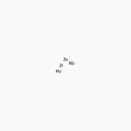 [Nb].[Pb].[Zn].[Zr]